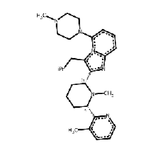 Cc1cccnc1[C@@H]1CCC[C@H](c2nc3cccc(N4CCN(C)CC4)n3c2CC(C)C)N1C